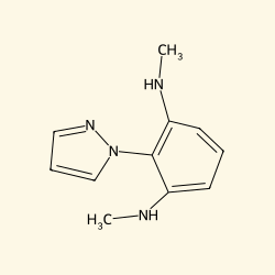 CNc1cccc(NC)c1-n1cccn1